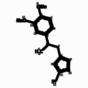 COc1ccc(C(C)Cc2csc(C(C)C)c2)cc1OC